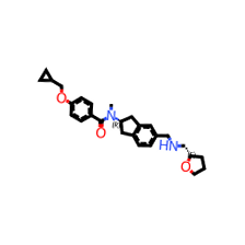 CN(C(=O)c1ccc(OCC2CC2)cc1)[C@@H]1Cc2ccc(CNC[C@@H]3CCCO3)cc2C1